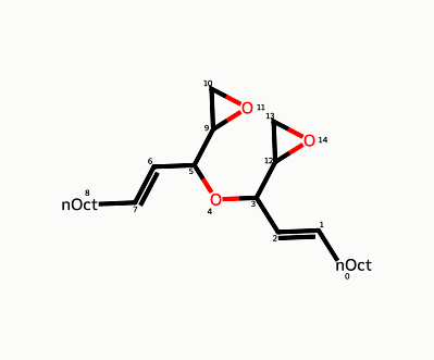 CCCCCCCC/C=C/C(OC(/C=C/CCCCCCCC)C1CO1)C1CO1